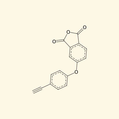 C#Cc1ccc(Oc2ccc3c(c2)C(=O)OC3=O)cc1